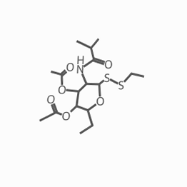 CCSSC1OC(CC)C(OC(C)=O)C(OC(C)=O)C1NC(=O)C(C)C